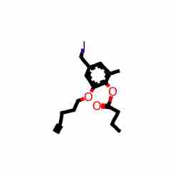 C#CCCCOc1cc(CI)cc(C)c1OC(=O)CCC